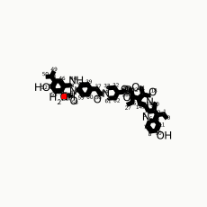 CCc1c2c(nc3ccc(O)cc13)-c1cc3c(c(=O)n1C2)COC(=O)C3(CC)OC(=O)C1CCN(C(=O)Cc2ccc(N(C(=N)c3cc(C(C)C)c(O)cc3O)C(N)=O)cc2)CC1